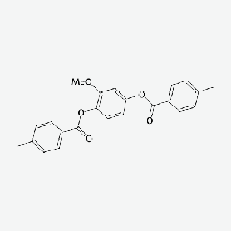 COc1cc(OC(=O)c2ccc(C)cc2)ccc1OC(=O)c1ccc(C)cc1